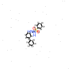 O=S(=O)(NNc1cccc(-c2ccccc2)c1)c1ccccc1